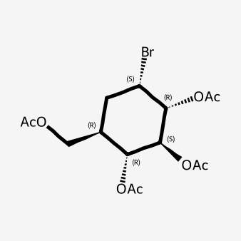 CC(=O)OC[C@H]1C[C@H](Br)[C@H](OC(C)=O)[C@@H](OC(C)=O)[C@@H]1OC(C)=O